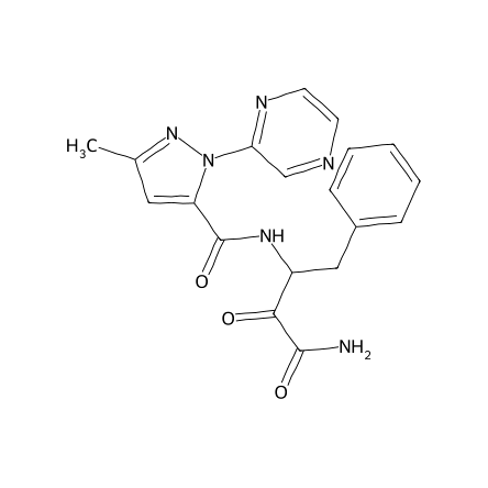 Cc1cc(C(=O)NC(Cc2ccccc2)C(=O)C(N)=O)n(-c2cnccn2)n1